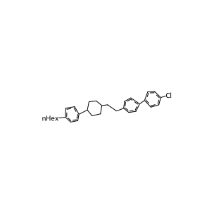 CCCCCCc1ccc(C2CCC(CCc3ccc(-c4ccc(Cl)cc4)cc3)CC2)cc1